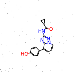 O=C(Nc1nc2c(-c3ccc(O)cc3)cccn2n1)C1CC1